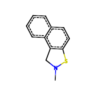 CN1Cc2c(ccc3ccccc23)S1